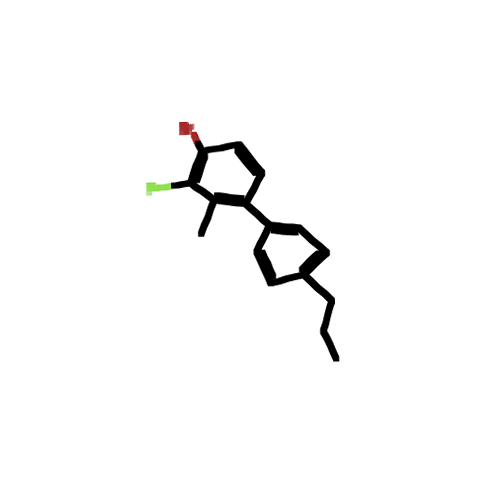 CCCc1ccc(-c2ccc(Br)c(F)c2C)cc1